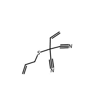 C=CCSC(C#N)(C#N)C=C